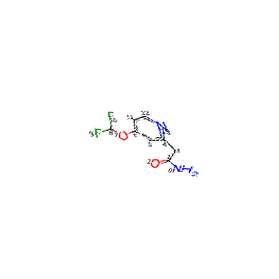 NC(=O)Cc1cc(OC(F)F)ccn1